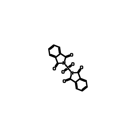 O=C1c2ccccc2C(=O)N1S(=O)(=O)N1C(=O)c2ccccc2C1=O